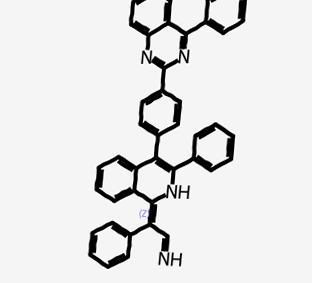 N=C/C(=C1\NC(c2ccccc2)=C(c2ccc(-c3nc(-c4ccccc4)c4ccccc4n3)cc2)c2ccccc21)c1ccccc1